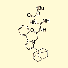 CC(C)(C)OC(=O)NC(=N)NC(=O)Cn1c(-c2ccccc2)ccc1C12CC3CC(CC(C3)C1)C2